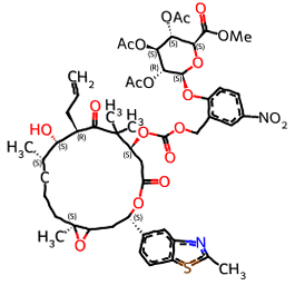 C=CC[C@H]1C(=O)C(C)(C)[C@@H](OC(=O)OCc2cc([N+](=O)[O-])ccc2O[C@@H]2O[C@H](C(=O)OC)[C@@H](OC(C)=O)[C@H](OC(C)=O)[C@H]2OC(C)=O)CC(=O)O[C@H](c2ccc3sc(C)nc3c2)CC2O[C@@]2(C)CCC[C@H](C)[C@@H]1O